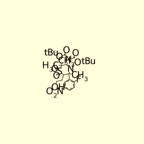 CC(C)(C)OC(=O)N(C(=O)OC(C)(C)C)C1=NC(C)(c2cc([N+](=O)[O-])ccc2F)C(CCO)S(=O)(=O)C1(C)C